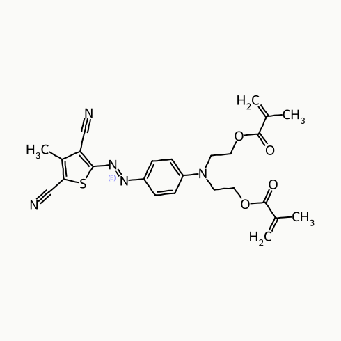 C=C(C)C(=O)OCCN(CCOC(=O)C(=C)C)c1ccc(/N=N/c2sc(C#N)c(C)c2C#N)cc1